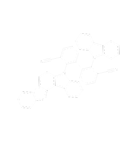 N#Cc1cccc(-c2cccc(C#N)c2-n2c3ccccc3c3c4oc5ccccc5c4ccc32)c1-n1c2ccccc2c2ccccc21